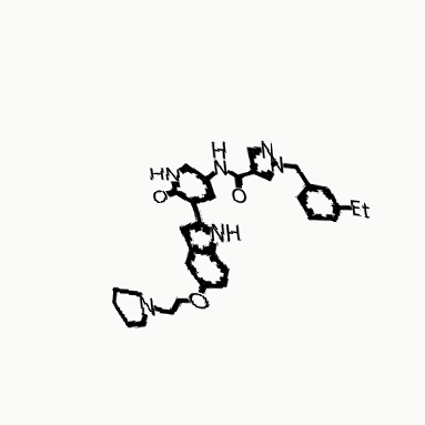 CCc1cccc(Cn2cc(C(=O)Nc3c[nH]c(=O)c(-c4cc5cc(OCCN6CCCCC6)ccc5[nH]4)c3)cn2)c1